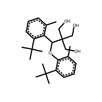 Cc1cccc(C(C)(C)C)c1OC(c1c(C)cccc1C(C)(C)C)C(CO)(CO)CO